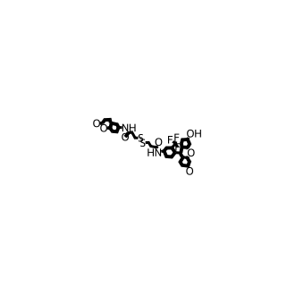 O=C(CCSSCCC(=O)Nc1ccc2oc(=O)ccc2c1)Nc1ccc(-c2c3ccc(=O)cc-3oc3cc(O)ccc23)c(C(F)(F)F)c1